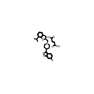 CC(C)c1cccc2c1OC(CN1CCC(c3noc4cc(F)ccc34)CC1)C2.O=C(O)C=CC(=O)O